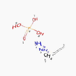 C.C=C.N.N.O=P(O)(O)O